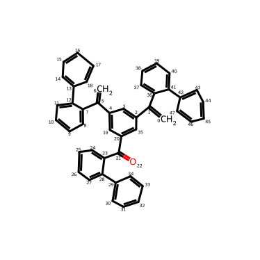 C=C(c1cc(C(=C)c2ccccc2-c2ccccc2)cc(C(=O)c2ccccc2-c2ccccc2)c1)c1ccccc1-c1ccccc1